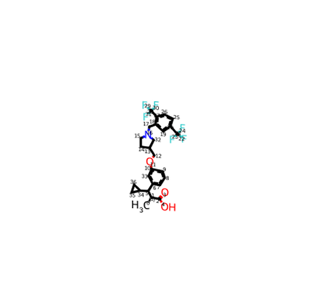 C[C@H](C(=O)O)C(c1cccc(OCC2CCN(Cc3cc(C(F)(F)F)ccc3C(F)(F)F)C2)c1)C1CC1